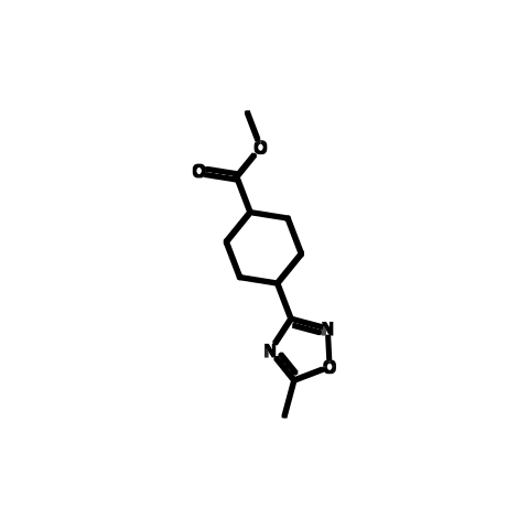 COC(=O)C1CCC(c2noc(C)n2)CC1